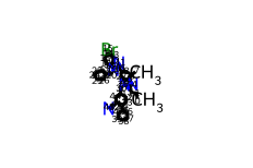 CCCc1nc2c(C)cc(-c3nc4cc(Br)ccc4n3Cc3ccccc3)cc2n1Cc1ccc(-c2ccccc2)c(C#N)c1